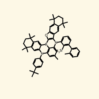 Cc1cc2c3c(c1)N(c1cccc(-c4ccccc4C)c1[SiH3])c1c(oc4cc5c(cc14)C(C)(C)CCC5(C)C)B3c1cc3c(cc1N2c1ccc(C(C)(C)C)cc1)C(C)(C)CCC3(C)C